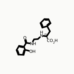 O=C(NCCN[C@@H](Cc1ccccc1)C(=O)O)c1ccccc1O